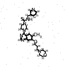 Cc1cc2c(N3CCN(C(=S)NCc4cccnc4)CC3)ncnc2cc1OCCCN1CCOCC1